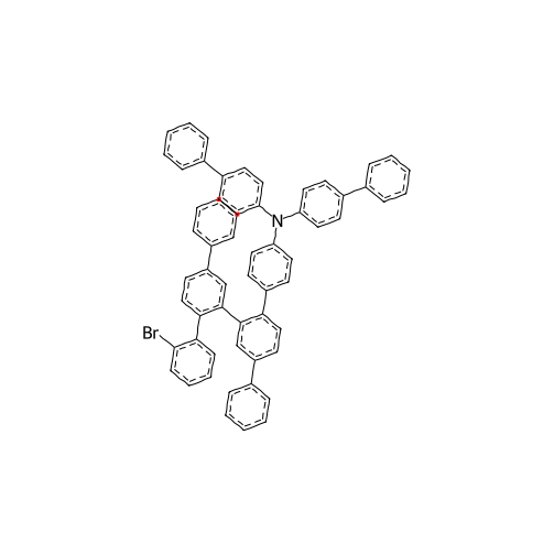 Brc1ccccc1-c1ccc(-c2ccccc2)cc1-c1cc(-c2ccccc2)ccc1-c1ccc(N(c2ccc(-c3ccccc3)cc2)c2ccc(-c3ccccc3)cc2)cc1